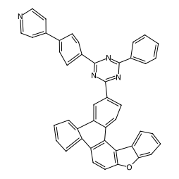 c1ccc(-c2nc(-c3ccc(-c4ccncc4)cc3)nc(-c3ccc4c(c3)c3ccccc3c3ccc5oc6ccccc6c5c34)n2)cc1